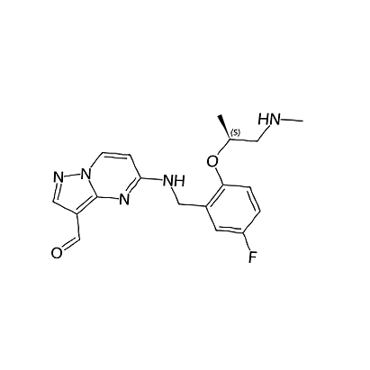 CNC[C@H](C)Oc1ccc(F)cc1CNc1ccn2ncc(C=O)c2n1